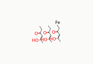 CCC(=O)C=C(C)O.CCC(=O)C=C(C)O.CCC(=O)C=C(C)O.[Fe]